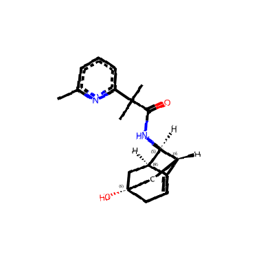 Cc1cccc(C(C)(C)C(=O)N[C@@H]2[C@@H]3C[C@]4(O)CC=C3[C@@H]2C4)n1